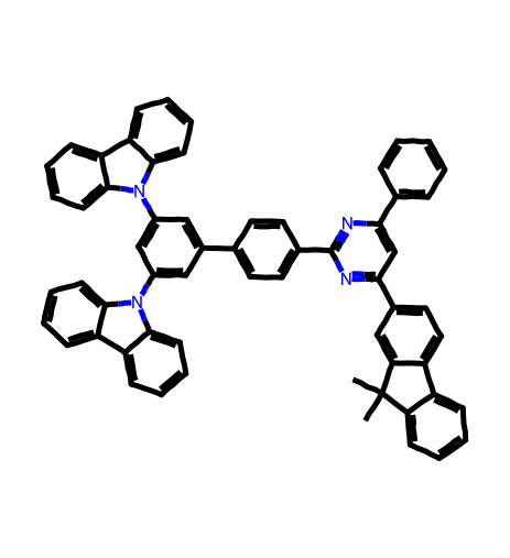 CC1(C)c2ccccc2-c2ccc(-c3cc(-c4ccccc4)nc(-c4ccc(-c5cc(-n6c7ccccc7c7ccccc76)cc(-n6c7ccccc7c7ccccc76)c5)cc4)n3)cc21